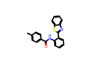 Cc1ccc(C(=O)Nc2ccccc2-c2nc3ccccc3s2)cc1